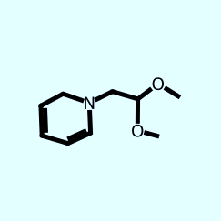 COC(CN1C=CC=CC1)OC